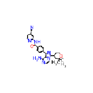 CC1(C)CC(c2nc(-c3ccc(C(=O)Nc4cc(C#N)ccn4)cc3)c3c(N)nccn23)CCO1